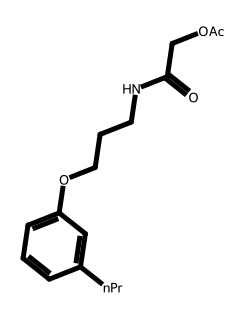 CCCc1cccc(OCCCNC(=O)COC(C)=O)c1